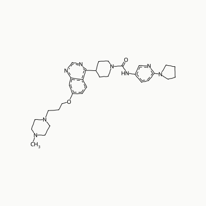 CN1CCN(CCCOc2ccc3c(C4CCN(C(=O)Nc5ccc(N6CCCC6)nc5)CC4)ncnc3c2)CC1